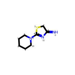 N=C1CSC(N2CCCCC2)=N1